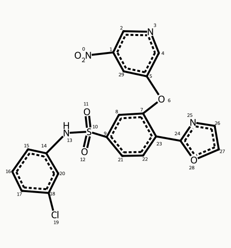 O=[N+]([O-])c1cncc(Oc2cc(S(=O)(=O)Nc3cccc(Cl)c3)ccc2-c2ncco2)c1